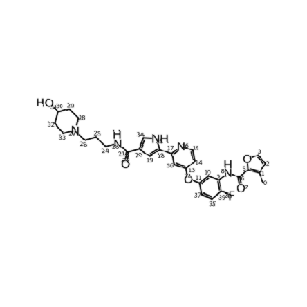 Cc1ccoc1C(=O)Nc1cc(Oc2ccnc(-c3cc(C(=O)NCCCN4CCC(O)CC4)c[nH]3)c2)ccc1F